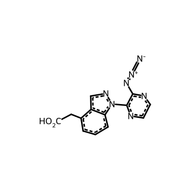 [N-]=[N+]=Nc1nccnc1-n1ncc2c(CC(=O)O)cccc21